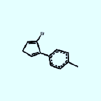 Cc1ccc(C2=[C]CC=C2Br)cc1